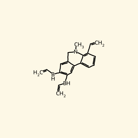 C=CBc1cc2c(cc1BC=C)-c1cccc(C=C)c1N(C)C2